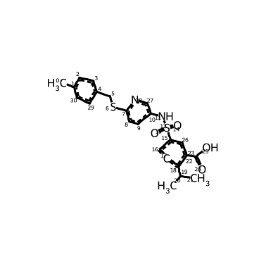 Cc1ccc(CSc2ccc(NS(=O)(=O)c3ccc(C(C)C)c(C(=O)O)c3)cn2)cc1